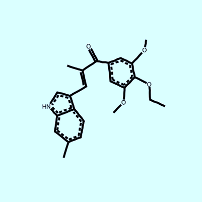 CCOc1c(OC)cc(C(=O)/C(C)=C/c2c[nH]c3cc(C)ccc23)cc1OC